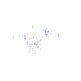 CCn1nnc([C@H]2O[C@@H](n3cnc4c(N)nc(N5CC[C@@H](N(C)C)C5)nc43)[C@H](O)[C@@H]2OC(=O)C(F)(F)F)n1